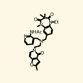 CCN1C(=O)C(C)(C)C(=O)N(C)c2cc(CN(CCn3ccc4oc(C)cc4c3=O)Cc3cccnc3NC(C)=O)ccc21